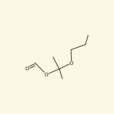 CCCOC(C)(C)O[C]=O